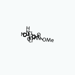 COCCNC(=O)c1cc(Cl)c(C(=O)c2c[nH]c3cnccc23)c(Cl)c1